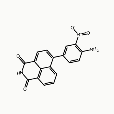 Nc1ccc(-c2ccc3c4c(cccc24)C(=O)NC3=O)cc1[N+](=O)[O-]